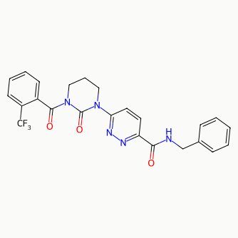 O=C(NCc1ccccc1)c1ccc(N2CCCN(C(=O)c3ccccc3C(F)(F)F)C2=O)nn1